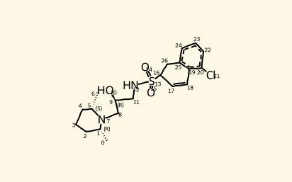 C[C@@H]1CCC[C@H](C)N1C[C@@H](O)CNS(=O)(=O)C1C=Cc2c(Cl)cccc2C1